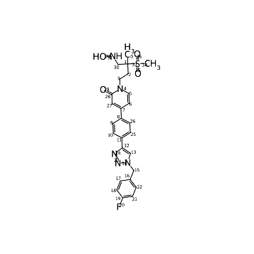 CC(CCn1ccc(-c2ccc(-c3cn(Cc4ccc(F)cc4)nn3)cc2)cc1=O)(CNO)S(C)(=O)=O